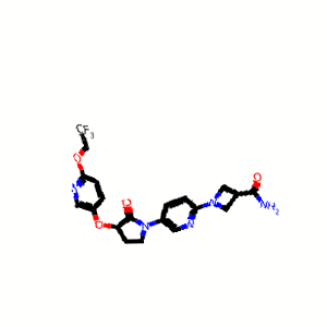 NC(=O)C1CN(c2ccc(N3CCC(Oc4ccc(OCC(F)(F)F)nc4)C3=O)cn2)C1